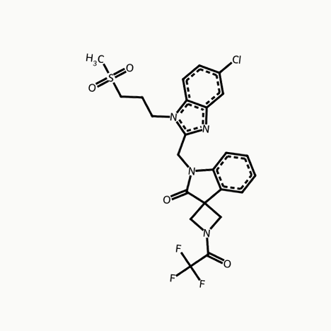 CS(=O)(=O)CCCn1c(CN2C(=O)C3(CN(C(=O)C(F)(F)F)C3)c3ccccc32)nc2cc(Cl)ccc21